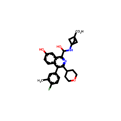 Cc1cc(-c2c(C3CCOCC3)nc(C(O)NC34CC(C(=O)O)(C3)C4)c3cc(O)ccc23)ccc1F